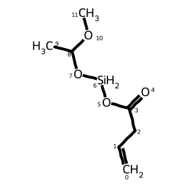 C=CCC(=O)O[SiH2]OC(C)OC